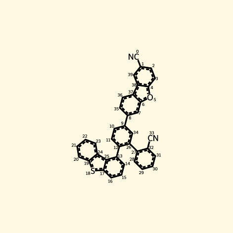 N#Cc1ccc2oc3cc(-c4ccc(-c5cccc6sc7ccccc7c56)c(-c5ccccc5C#N)c4)ccc3c2c1